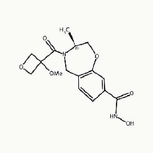 COC1(C(=O)N2Cc3ccc(C(=O)NO)cc3OC[C@@H]2C)COC1